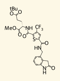 COC(=O)[C@H](CCC(=O)OC(C)(C)C)NC(=O)c1sc(C(=O)NCc2cccc3c2CC(=O)N3)cc1C(F)(F)F